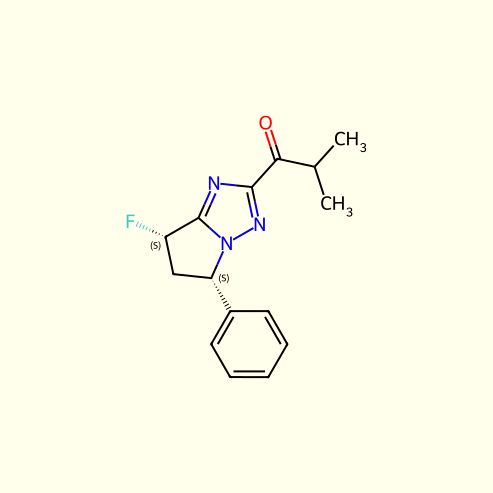 CC(C)C(=O)c1nc2n(n1)[C@H](c1ccccc1)C[C@@H]2F